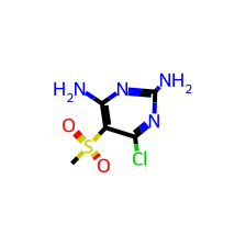 CS(=O)(=O)c1c(N)nc(N)nc1Cl